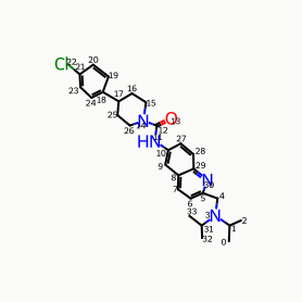 CC(C)N(Cc1ccc2cc(NC(=O)N3CCC(c4ccc(Cl)cc4)CC3)ccc2n1)C(C)C